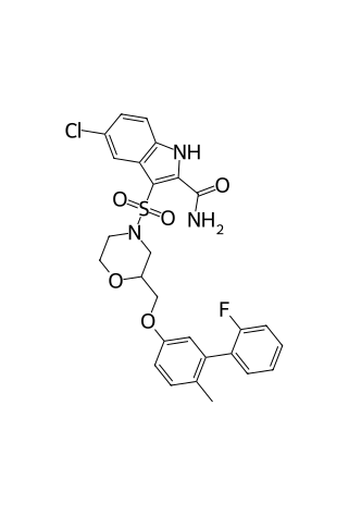 Cc1ccc(OCC2CN(S(=O)(=O)c3c(C(N)=O)[nH]c4ccc(Cl)cc34)CCO2)cc1-c1ccccc1F